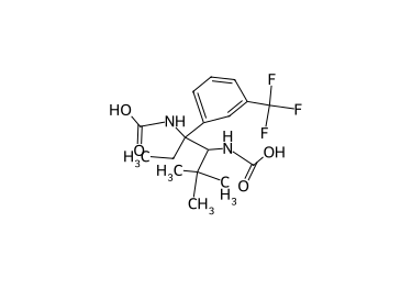 CCC(NC(=O)O)(c1cccc(C(F)(F)F)c1)C(NC(=O)O)C(C)(C)C